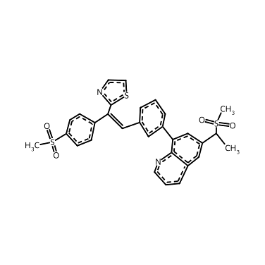 CC(c1cc(-c2cccc(C=C(c3ccc(S(C)(=O)=O)cc3)c3nccs3)c2)c2ncccc2c1)S(C)(=O)=O